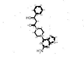 Nc1nc(N2CCN(C(=O)CC(O)c3ccccc3)CC2)c2ncsc2n1